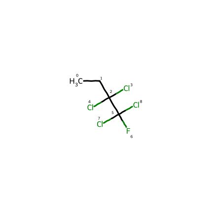 CCC(Cl)(Cl)C(F)(Cl)Cl